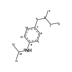 CCC(C)Cc1ccc(NC(C)C)cc1